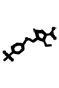 CCn1c([N+](=O)[O-])cnc1COc1ccc(S(C)(=O)=O)cc1